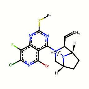 C=C[C@H]1[C@@H]2CC[C@H](CN1c1nc(SCC)nc3c(F)c(Cl)nc(Br)c13)N2C(=O)O